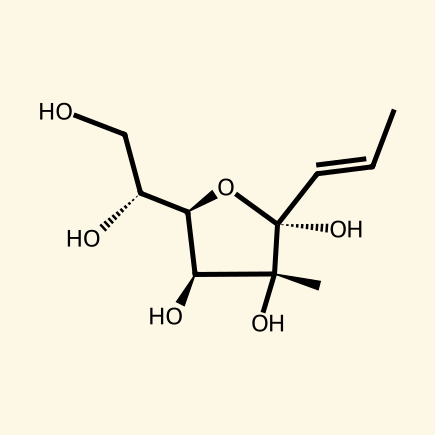 CC=C[C@]1(O)O[C@H]([C@H](O)CO)[C@H](O)[C@@]1(C)O